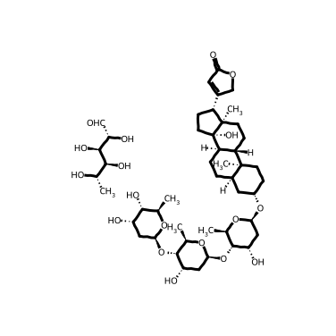 C[C@H](O)[C@H](O)[C@@H](O)[C@@H](O)C=O.C[C@H]1O[C@@H](O[C@H]2[C@@H](O)C[C@H](O[C@H]3[C@@H](O)C[C@H](O[C@H]4CC[C@@]5(C)[C@H](CC[C@@H]6[C@@H]5CC[C@]5(C)[C@@H](C7=CC(=O)OC7)CC[C@]65O)C4)O[C@@H]3C)O[C@@H]2C)C[C@H](O)[C@@H]1O